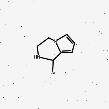 CC(=O)C1NCCn2cccc21